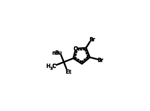 CCCCC(C)(CC)c1cc(Br)c(Br)o1